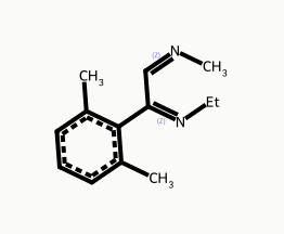 CC/N=C(\C=N/C)c1c(C)cccc1C